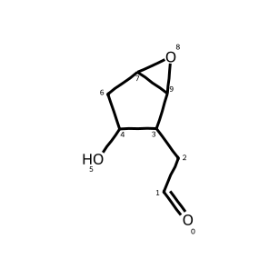 O=CCC1C(O)CC2OC21